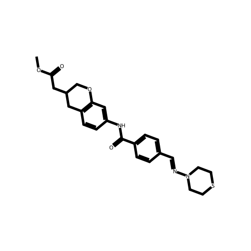 COC(=O)CC1COc2cc(NC(=O)c3ccc(C=NN4CCSCC4)cc3)ccc2C1